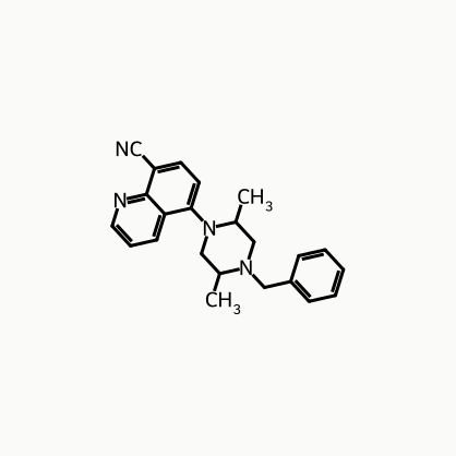 CC1CN(c2ccc(C#N)c3ncccc23)C(C)CN1Cc1ccccc1